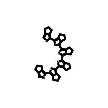 c1sc(-c2sc(-c3sc(-c4sc(-c5sc(-c6scc7c6CCC7)c6c5CCC6)c5c4CCC5)c4c3CCC4)c3c2CCC3)c2c1CCC2